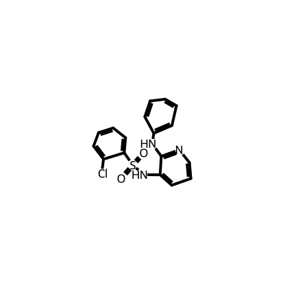 O=S(=O)(Nc1cccnc1Nc1ccccc1)c1ccccc1Cl